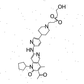 CC(=O)c1c(C)c2cnc(Nc3ccc(C4CCN(CCS(=O)(=O)CCO)CC4)cn3)cc2n(C2CCCC2)c1=O